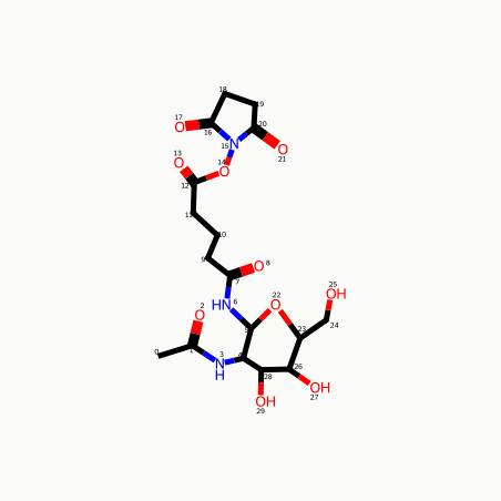 CC(=O)NC1C(NC(=O)CCCC(=O)ON2C(=O)CCC2=O)OC(CO)C(O)C1O